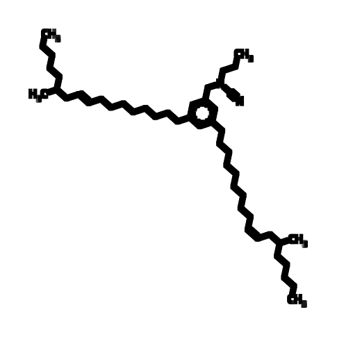 CCCCCC(C)C/C=C\CCCCCCCCCc1cc(CCCCCCCC/C=C/CC(C)CCCCC)cc(CN(C#N)CCC)c1